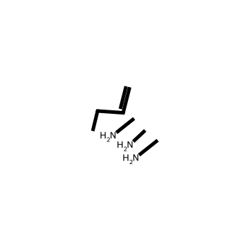 C=CCC.CN.CN.CN